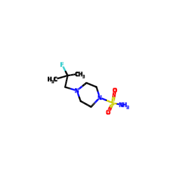 CC(C)(F)CN1CCN(S(N)(=O)=O)CC1